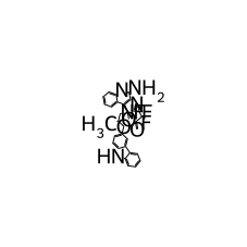 CC(C[N+]1(OC(=O)C(F)(F)F)C=Nc2c(N)nc3ccccc3c21)Oc1ccc2[nH]c3ccccc3c2c1